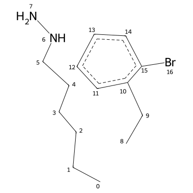 CCCCCCNN.CCc1ccccc1Br